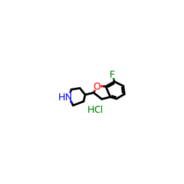 Cl.Fc1cccc2c1OC(C1CCNCC1)C2